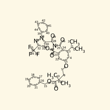 CC(C)c1cc(OCCC(C)(C)C(=O)OCc2ccccc2)cc2c1C(=O)N(C(=O)c1cc(C(F)(F)F)nn1-c1ccccc1)S2(=O)=O